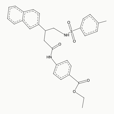 CCOC(=O)c1ccc(NC(=O)CC(CNS(=O)(=O)c2ccc(C)cc2)c2ccc3ccccc3c2)cc1